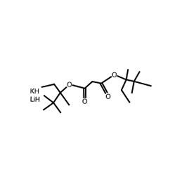 CCC(C)(OC(=O)CC(=O)OC(C)(CC)C(C)(C)C)C(C)(C)C.[KH].[LiH]